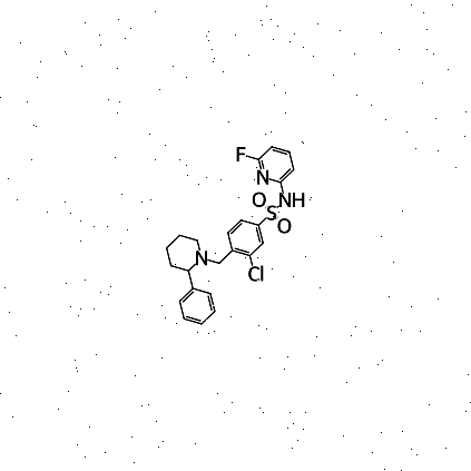 O=S(=O)(Nc1cccc(F)n1)c1ccc(CN2CCCCC2c2ccccc2)c(Cl)c1